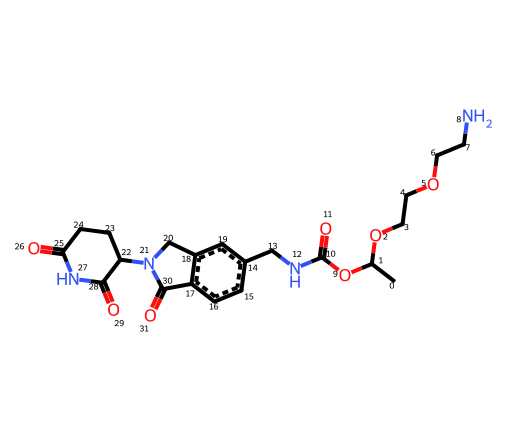 CC(OCCOCCN)OC(=O)NCc1ccc2c(c1)CN(C1CCC(=O)NC1=O)C2=O